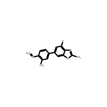 C=Nc1ccc(-c2cc(F)c3nc(C)oc3c2)cc1C